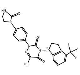 N#Cc1nn(-c2ccc(N3CCNC3=O)cc2)c(=O)n([C@@H]2CCc3c2cccc3C(F)(F)I)c1=O